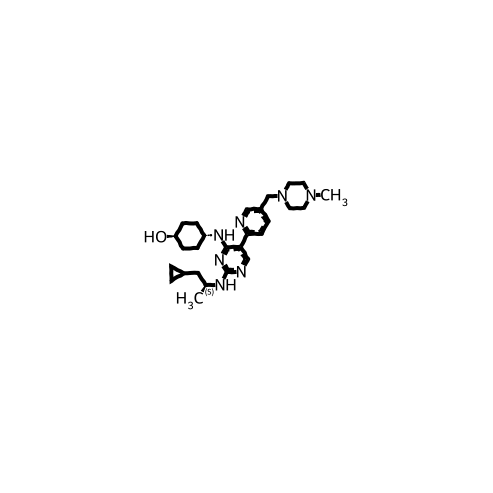 C[C@@H](CC1CC1)Nc1ncc(-c2ccc(CN3CCN(C)CC3)cn2)c(N[C@H]2CC[C@H](O)CC2)n1